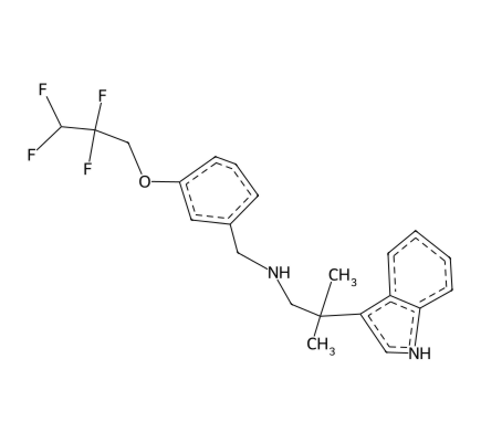 CC(C)(CNCc1cccc(OCC(F)(F)C(F)F)c1)c1c[nH]c2ccccc12